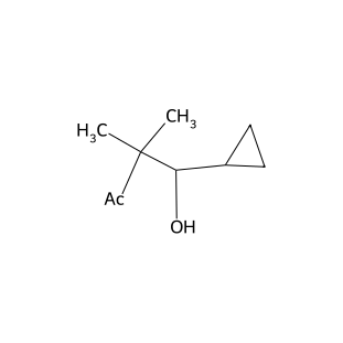 CC(=O)C(C)(C)C(O)C1CC1